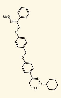 CON=C(COc1ccc(COc2ccc(C(CC(=O)O)=NOC3CCCCC3)cc2)cc1)c1ccccc1